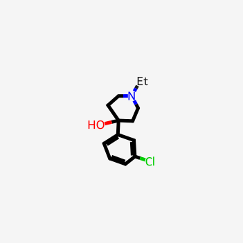 CCN1CCC(O)(c2cccc(Cl)c2)CC1